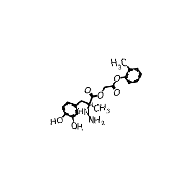 Cc1ccccc1OC(=O)COC(=O)[C@](C)(Cc1ccc(O)c(O)c1)NN